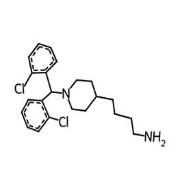 NCCCCC1CCN(C(c2ccccc2Cl)c2ccccc2Cl)CC1